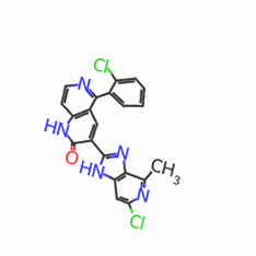 Cc1nc(Cl)cc2[nH]c(-c3cc4c(-c5ccccc5Cl)nccc4[nH]c3=O)nc12